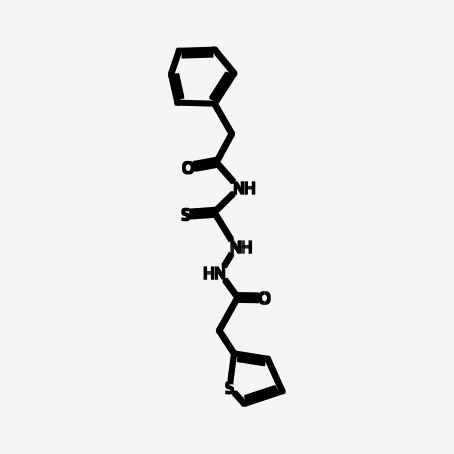 O=C(Cc1cccs1)NNC(=S)NC(=O)Cc1ccccc1